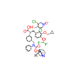 O=C(O)C(c1cccc(CN(C(=O)O[C@H]2CN3CCC2CC3)c2ccccc2)c1)[C@H](Cc1c(Cl)c[n+]([O-])cc1Cl)c1ccc(OC(F)F)c(OCC2CC2)c1